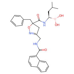 CC(C)C[C@H](NC(=O)C1(Cc2ccccc2)CC(CNC(=O)c2cccc3ccccc23)=NO1)B(O)O